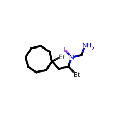 CCC(CC1(CC)CCCCCCC1)N(I)CN